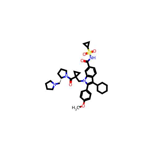 COc1ccc(-c2c(C3CCCCC3)c3ccc(C(=O)NS(=O)(=O)C4CC4)cc3n2CC2(C(=O)N3CCC[C@H]3CN3CCCC3)CC2)cc1